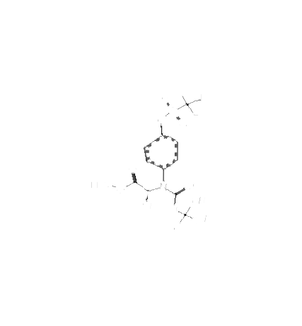 COC(=O)[C@H](C)N(C(=O)OC(C)(C)C)c1ccc(OS(=O)(=O)C(F)(F)F)cc1